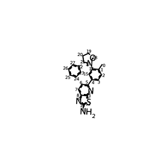 Cc1ccc(-c2ccc3nc(N)sc3n2)cc1N1OCC[C@H]1c1ccccc1